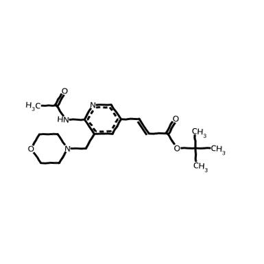 CC(=O)Nc1ncc(C=CC(=O)OC(C)(C)C)cc1CN1CCOCC1